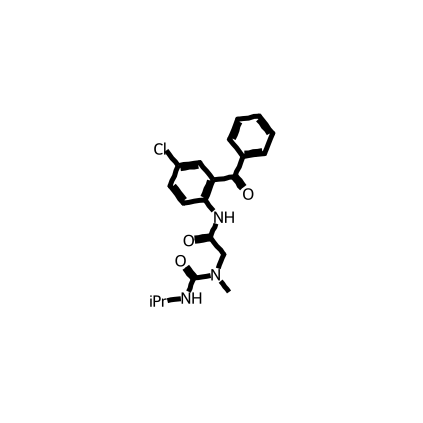 CC(C)NC(=O)N(C)CC(=O)Nc1ccc(Cl)cc1C(=O)c1ccccc1